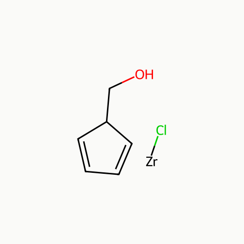 OCC1C=CC=C1.[Cl][Zr]